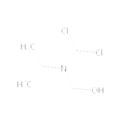 CC(C)N(CO)C(Cl)Cl